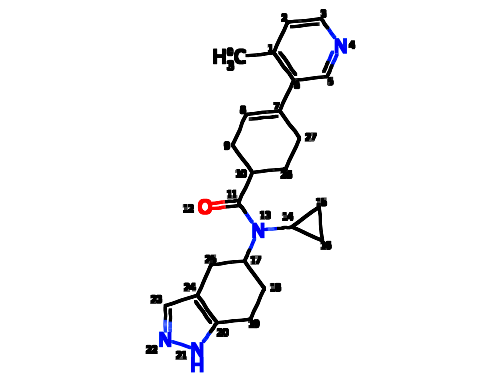 Cc1ccncc1C1=CCC(C(=O)N(C2CC2)C2CCc3[nH]ncc3C2)CC1